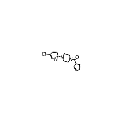 O=C(C1C=CC=C1)N1CCN(c2ccc(Cl)cn2)CC1